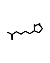 C=C(C)CCCCC1CCSS1